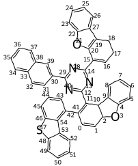 C1=CC2Oc3ccccc3C2C(c2nc(C3=CCCc4c3oc3ccccc43)nc(-c3ccc4ccccc4c3)n2)=C1c1cccc2sc3ccccc3c12